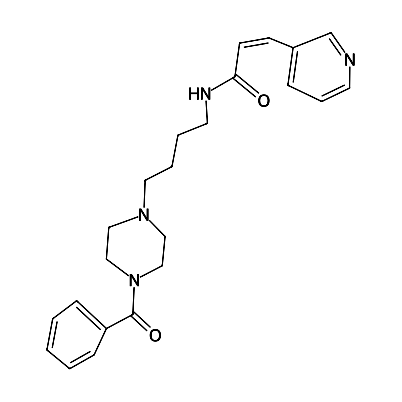 O=C(/C=C\c1cccnc1)NCCCCN1CCN(C(=O)c2ccccc2)CC1